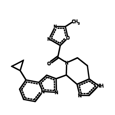 Cc1nnc(C(=O)N2CCc3[nH]cnc3C2c2cc3c(C4CC4)cccn3n2)o1